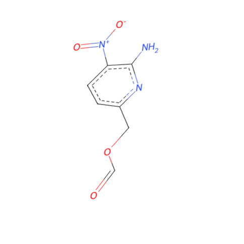 Nc1nc(COC=O)ccc1[N+](=O)[O-]